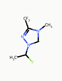 CC(F)N1[CH]N(C)C(C(F)(F)F)=N1